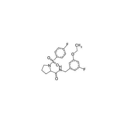 CCOc1cc(F)cc(CNC(=O)C2CCCN2S(=O)(=O)c2ccc(F)cc2)c1